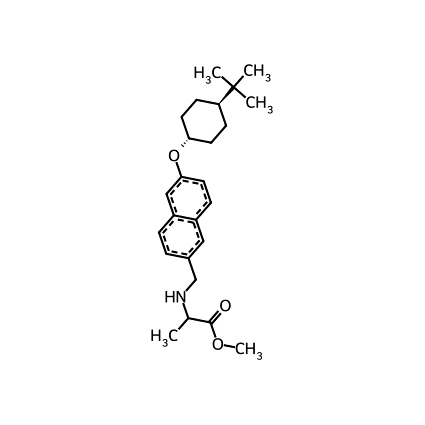 COC(=O)C(C)NCc1ccc2cc(O[C@H]3CC[C@H](C(C)(C)C)CC3)ccc2c1